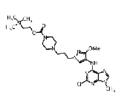 COc1nn(CCCN2CCN(C(=O)OCC[Si](C)(C)C)CC2)cc1Nc1nc(Cl)nc2c1ncn2C